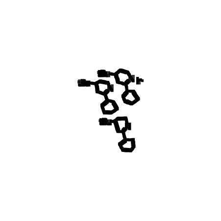 CC(C)(C)c1ccnc(-c2ccccc2)c1.CC(C)(C)c1ccnc(-c2ccccc2)c1.CC(C)(C)c1ccnc(-c2ccccc2)c1.[Ir]